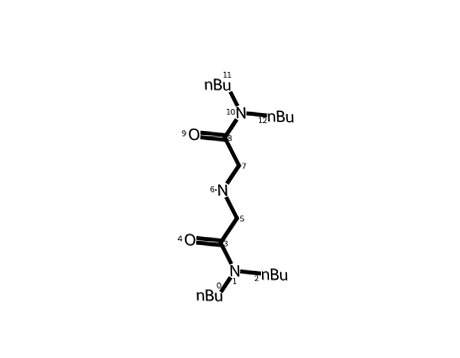 CCCCN(CCCC)C(=O)C[N]CC(=O)N(CCCC)CCCC